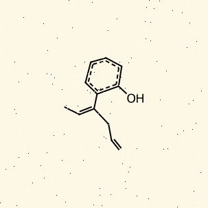 C=CC/C(=C/C)c1ccccc1O